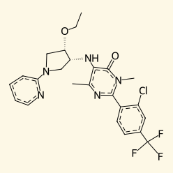 CCO[C@H]1CN(c2ccccn2)C[C@H]1Nc1c(C)nc(-c2ccc(C(F)(F)F)cc2Cl)n(C)c1=O